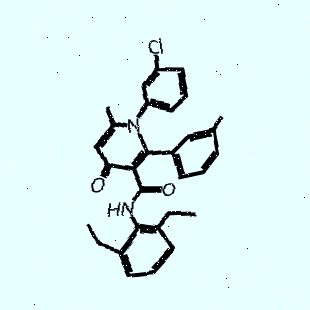 CCc1cccc(CC)c1NC(=O)c1c(-c2cccc(C)c2)n(-c2cccc(Cl)c2)c(C)cc1=O